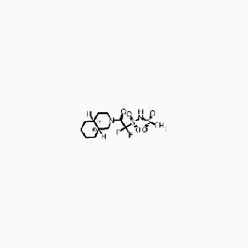 CS(=O)(=O)NS(=O)(=O)C(F)(F)C(=O)N1CC[C@H]2CCCC[C@H]2C1